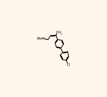 CNC/C=C(/C)c1ccc(-c2ccc(Cl)cc2)cc1